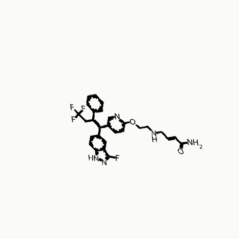 NC(=O)/C=C/CNCCOc1ccc(/C(=C(/CC(F)(F)F)c2ccccc2)c2ccc3[nH]nc(F)c3c2)cn1